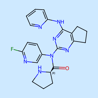 O=C([C@H]1CCCN1)N(c1ccc(F)nc1)c1nc2c(c(Nc3ccccn3)n1)CCC2